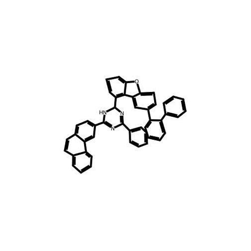 c1ccc(C2=NC(c3cccc4oc5ccc(-c6ccccc6-c6ccccc6)cc5c34)NC(c3ccc4ccc5ccccc5c4c3)=N2)cc1